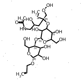 C=CCO[C@@H]1OC(CO)[C@@H](O[C@@H]2OC(CO)[C@H](O)C(O[C@](COO)(CC(O)CNC(C)=O)SC)C2O)C(O)C1O